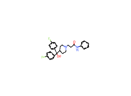 O=C(CCN1CCC(C(O)(c2ccc(F)cc2)c2ccc(F)cc2)CC1)Nc1ccccc1